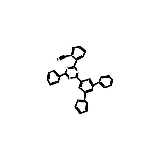 N#Cc1ccccc1-c1nc(-c2ccccc2)nc(-c2cc(-c3ccccc3)cc(-c3ccccc3)c2)n1